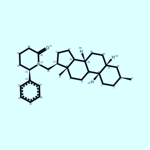 C[C@H]1CC[C@@H]2C3CC[C@@]4(C)C(CC[C@@H]4CN4C(=O)CCC[C@@H]4c4ccccc4)[C@@H]3CC[C@@H]2C1